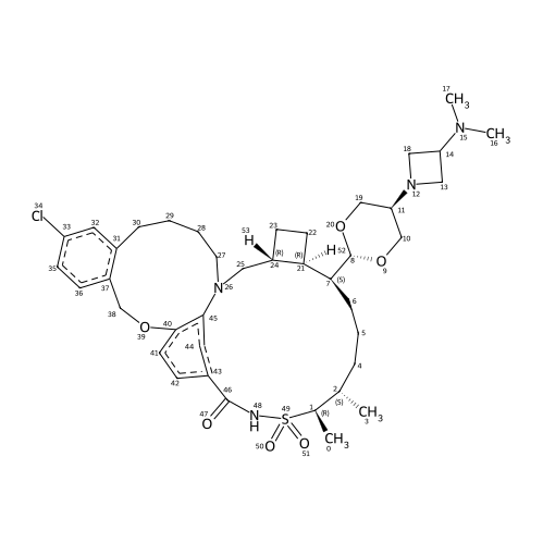 C[C@@H]1[C@@H](C)CCC[C@H]([C@H]2OC[C@H](N3CC(N(C)C)C3)CO2)[C@@H]2CC[C@H]2CN2CCCCc3cc(Cl)ccc3COc3ccc(cc32)C(=O)NS1(=O)=O